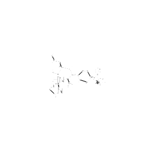 C/C=C\C=C(/CC)CC(C(=O)Nc1nccs1)c1ccc(S(C)(=O)=O)cc1